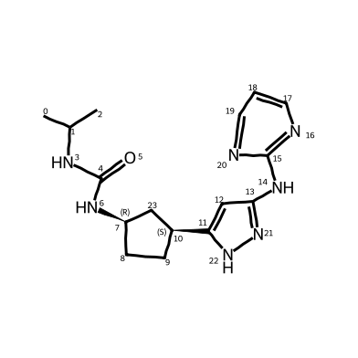 CC(C)NC(=O)N[C@@H]1CC[C@H](c2cc(Nc3ncccn3)n[nH]2)C1